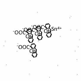 O=C([O-])c1cccc(Cc2ccccc2)c1O.O=C([O-])c1cccc(Cc2ccccc2)c1O.O=C([O-])c1cccc(Cc2ccccc2)c1O.O=C([O-])c1cccc(Cc2ccccc2)c1O.[Sn+4]